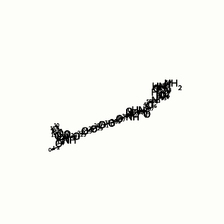 C#CCOCC(COCC#C)(COCC#C)NC(=O)CCOCCOCCOCCOCCOCCOCCNC(=O)CCCNC(=O)c1ccc(NCc2cnc3nc(N)[nH]c(=O)c3n2)cc1